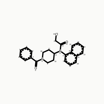 O=C(c1ccccc1)N1CCC(N(C(=O)CCl)c2cccc3ccccc23)CC1